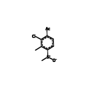 CC(=O)c1ccc([S+](C)[O-])c(C)c1Cl